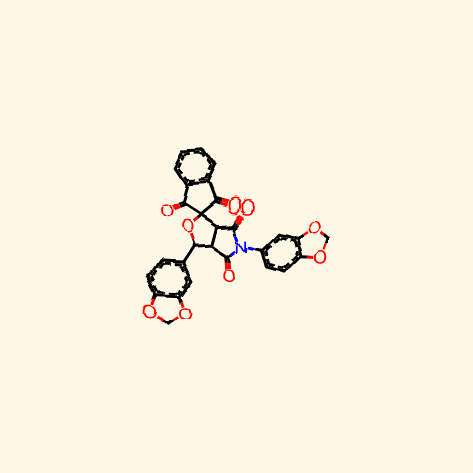 O=C1C2C(c3ccc4c(c3)OCO4)OC3(C(=O)c4ccccc4C3=O)C2C(=O)N1c1ccc2c(c1)OCO2